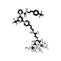 CC(C)(C)OC(=O)N[C@@H](CCC(=O)NCCCC1CCN(c2cc(N3CCC[C@H]3C(=O)NCCc3ccc(C(F)(F)F)cc3)nc(C(F)(F)F)n2)CC1)C(=O)OC(C)(C)C